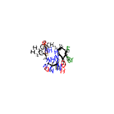 CC(CNc1nonc1/C(=N/O)Nc1ccc(F)c(Br)c1)N[SH](C)(C)=O